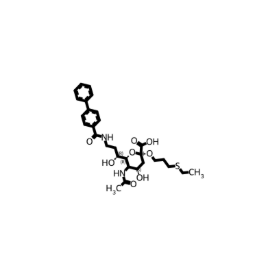 CCSCCCO[C@]1(C(=O)O)C[C@H](O)C(NC(C)=O)[C@H]([C@H](O)CCNC(=O)c2ccc(-c3ccccc3)cc2)O1